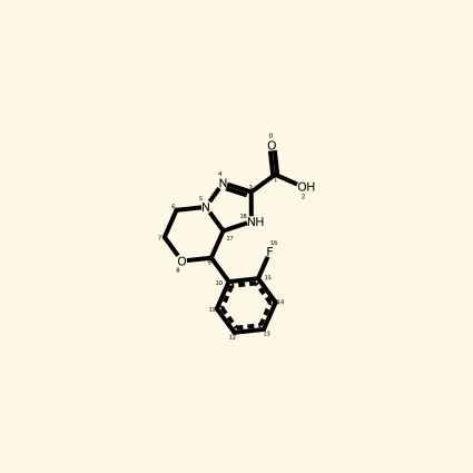 O=C(O)C1=NN2CCOC(c3ccccc3F)C2N1